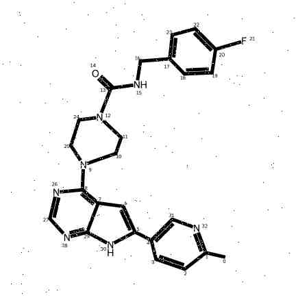 Cc1ccc(-c2cc3c(N4CCN(C(=O)NCc5ccc(F)cc5)CC4)ncnc3[nH]2)cn1